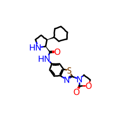 O=C(Nc1ccc2nc(N3CCOC3=O)sc2c1)[C@H]1NCC[C@H]1C1CCCCC1